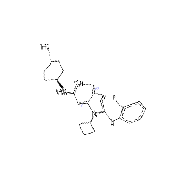 C=C(/N=C1\C(=C/N)N=C(Nc2ccccc2F)N1C1CCC1)N[C@H]1CC[C@H](O)CC1